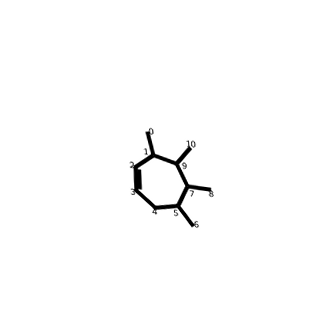 CC1C=CCC(C)C(C)C1C